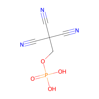 N#CC(C#N)(C#N)COP(=O)(O)O